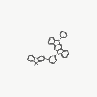 CC1(C)c2ccccc2-c2ccc(-c3cccc(-n4c5ccccc5c5cc6c(cc54)c4ccccc4n6-c4ccccc4)c3)cc21